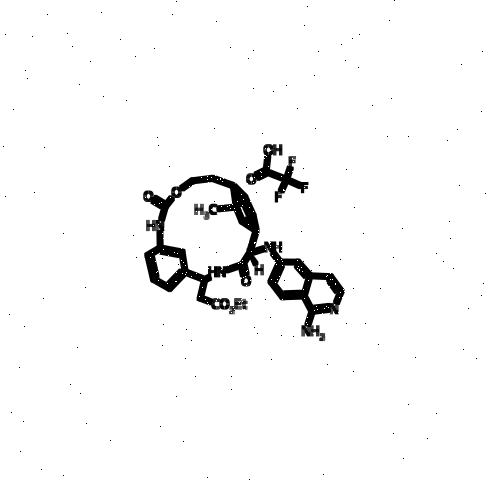 CCOC(=O)CC1NC(=O)[C@@H](Nc2ccc3c(N)nccc3c2)c2ccc(c(C)c2)CCOC(=O)Nc2cccc1c2.O=C(O)C(F)(F)F